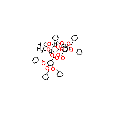 CO[C@H]1O[C@@H]2COC(C)(C)O[C@H]2[C@H](OC(=O)c2cc(OCc3ccccc3)c(OCc3ccccc3)c(OCc3ccccc3)c2)[C@H]1OC(=O)c1cc(OCc2ccccc2)c(OCc2ccccc2)c(OCc2ccccc2)c1